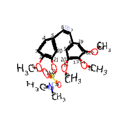 COc1ccc(/C=C\c2cc(OC)c(OC)c(OC)c2)cc1OS(=O)(=O)N(C)C